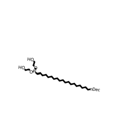 CCCCCCCCCCCCCCCCCCCCCCCCCCCC=CN(OCCO)OCCO